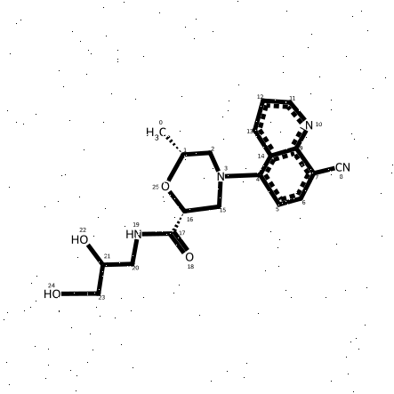 C[C@@H]1CN(c2ccc(C#N)c3ncccc23)C[C@H](C(=O)NCC(O)CO)O1